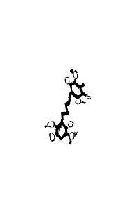 COC1=CC(=O)C(OC)=C(CCCCCC2=C(OC)C(=S)C(C)=C(OC)C2=O)C1=O